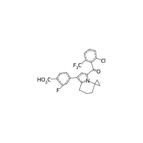 O=C(O)c1ccc(-c2cc(C(=O)c3c(Cl)cccc3C(F)(F)F)n3c2CCCC32CC2)cc1F